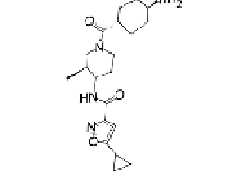 C[C@H]1CN(C(=O)[C@H]2CC[C@H](N)CC2)CCC1NC(=O)c1cc(C2CC2)on1